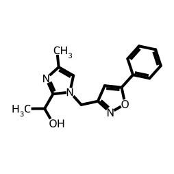 Cc1cn(Cc2cc(-c3ccccc3)on2)c(C(C)O)n1